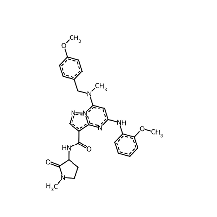 COc1ccc(CN(C)c2cc(Nc3ccccc3OC)nc3c(C(=O)NC4CCN(C)C4=O)cnn23)cc1